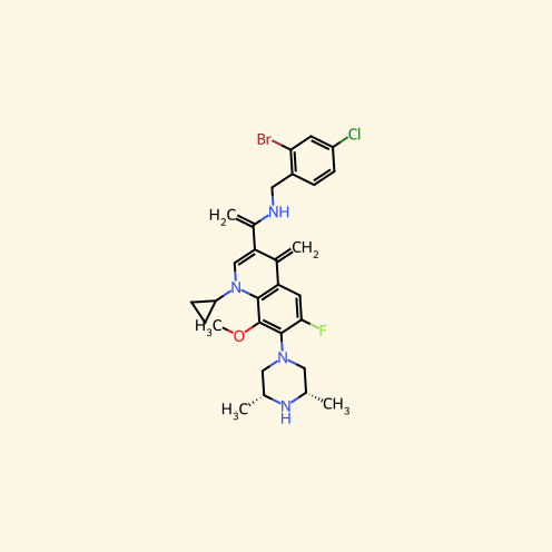 C=C(NCc1ccc(Cl)cc1Br)C1=CN(C2CC2)c2c(cc(F)c(N3C[C@@H](C)N[C@@H](C)C3)c2OC)C1=C